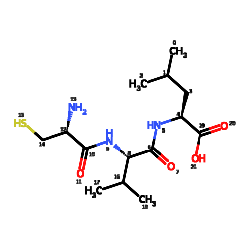 CC(C)C[C@H](NC(=O)[C@@H](NC(=O)[C@@H](N)CS)C(C)C)C(=O)O